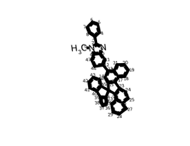 Cn1c(-c2ccccc2)nc2cc(-c3cc4c(c5ccccc35)-c3ccc5ccccc5c3C43c4ccccc4-c4ccccc43)ccc21